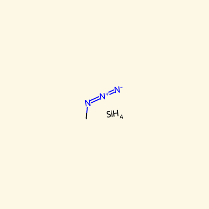 CN=[N+]=[N-].[SiH4]